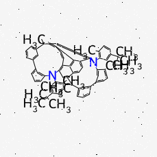 Cc1ccc2cc1N(c1cc(C(C)(C)C)ccc1C)c1cc3c4ccc5c(cc(c6ccc1c4c65)C(C)c1cccc-2c1)N(c1cc(C(C)(C)C)ccc1C)c1cc(ccc1C)-c1cccc(c1)C3C